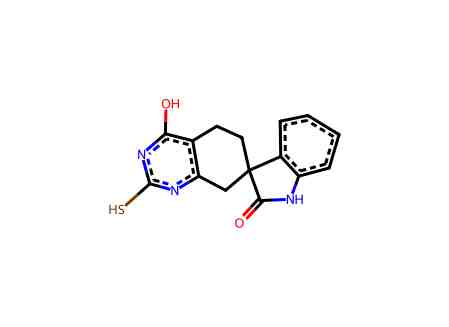 O=C1Nc2ccccc2C12CCc1c(O)nc(S)nc1C2